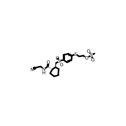 CS(=O)(=O)OCCSc1ccc(S(=O)(=O)C[C@H]2CCCC[C@@H]2C(=O)NCC#N)cc1